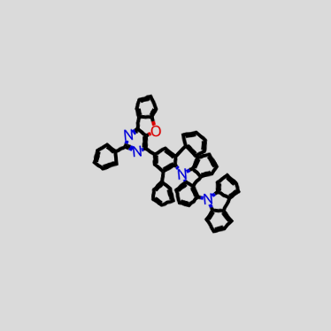 c1ccc(-c2nc(-c3cc(-c4ccccc4)c(-n4c5ccccc5c5c(-n6c7ccccc7c7ccccc76)cccc54)c(-c4ccccc4)c3)c3oc4ccccc4c3n2)cc1